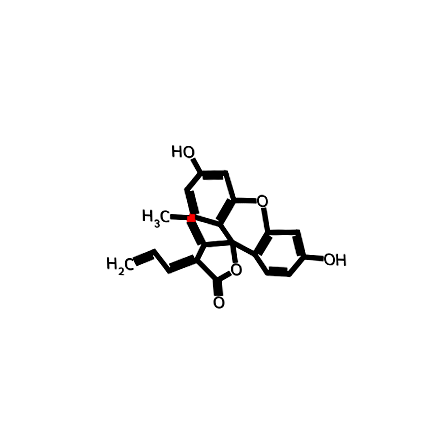 C=C/C=C1/C(=O)OC2(/C1=C/C)c1ccc(O)cc1Oc1cc(O)ccc12